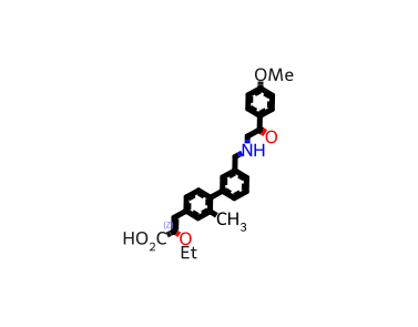 CCO/C(=C\c1ccc(-c2cccc(CNCC(=O)c3ccc(OC)cc3)c2)c(C)c1)C(=O)O